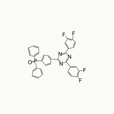 O=P(c1ccccc1)(c1ccccc1)c1ccc(-c2nc(-c3ccc(F)c(F)c3)nc(-c3ccc(F)c(F)c3)n2)cc1